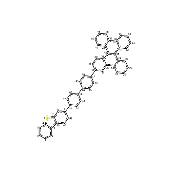 c1ccc2c(c1)sc1cc(-c3ccc(-c4ccc(-c5ccc6c(c5)c5ccccc5c5c7ccccc7c7ccccc7c65)cc4)cc3)ccc12